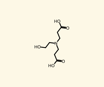 O=C(O)CCN(CCO)CCC(=O)O